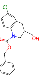 O=C(OCc1ccccc1)N1CC(CO)Cc2cc(Cl)ccc21